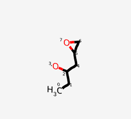 CCC([O])CC1CO1